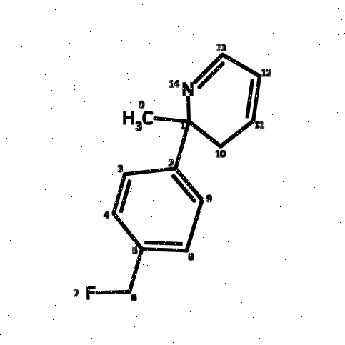 CC1(c2ccc(CF)cc2)CC=CC=N1